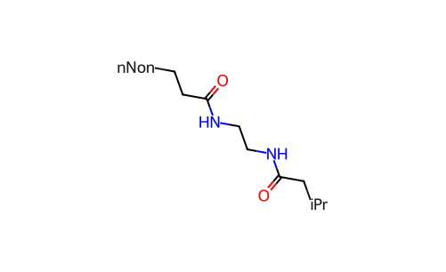 CCCCCCCCCCCC(=O)NCCNC(=O)CC(C)C